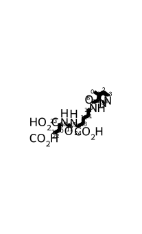 Cc1ccnnc1C(=O)NCCCC[C@H](NC(=O)N[C@@H](CCC(=O)O)C(=O)O)C(=O)O